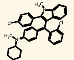 Cn1c(-c2ccc(Cl)cc2)c(C(=C2C=CC(=[N+](C)C3CCCCC3)C=C2)c2ccccc2Cl)c2ccccc21